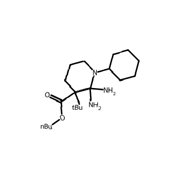 CCCCOC(=O)C1(C(C)(C)C)CCCN(C2CCCCC2)C1(N)N